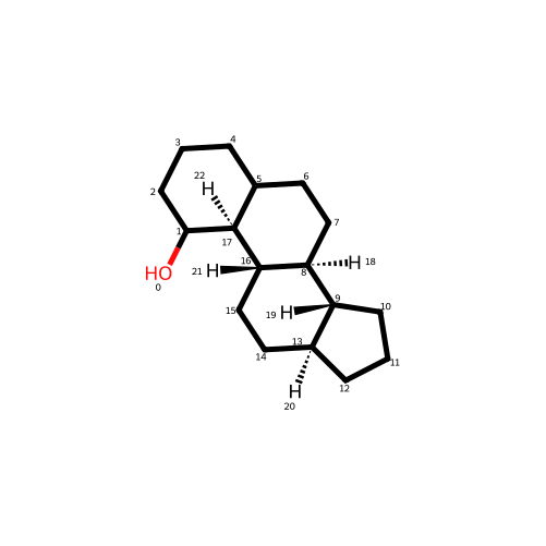 OC1CCCC2CC[C@H]3[C@@H]4CCC[C@H]4CC[C@@H]3[C@@H]12